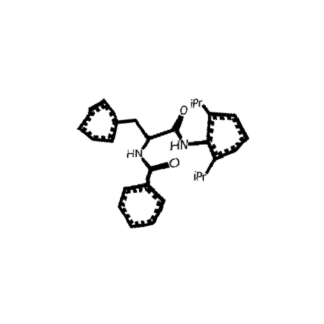 CC(C)c1cccc(C(C)C)c1NC(=O)C(Cc1ccccc1)NC(=O)c1ccccc1